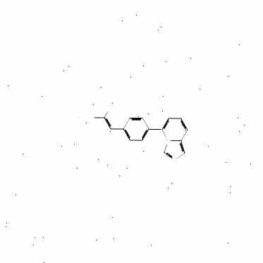 CC(=Cc1ccc(-c2cccc3cncn23)cc1)C(=O)O.Cl